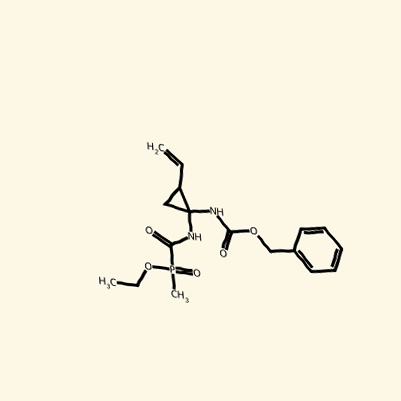 C=CC1CC1(NC(=O)OCc1ccccc1)NC(=O)P(C)(=O)OCC